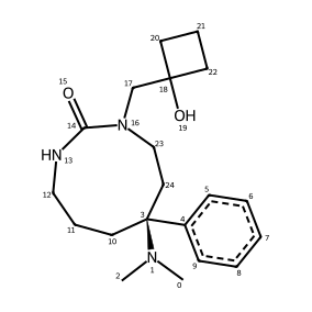 CN(C)[C@@]1(c2ccccc2)CCCNC(=O)N(CC2(O)CCC2)CC1